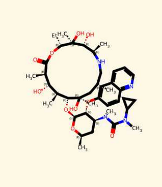 CC[C@H]1OC(=O)[C@H](C)[C@@H](O)[C@H](C)[C@@H](O[C@@H]2O[C@H](C)C[C@H](N(C)C(=O)N(C)C3CC3)[C@H]2Oc2ccc3ncccc3c2)[C@](C)(O)C[C@@H](C)CN[C@H](C)[C@@H](O)[C@]1(C)O